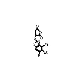 CCc1cc2sc(SC3CC(=O)OC3=O)nc2c(CC)c1CC